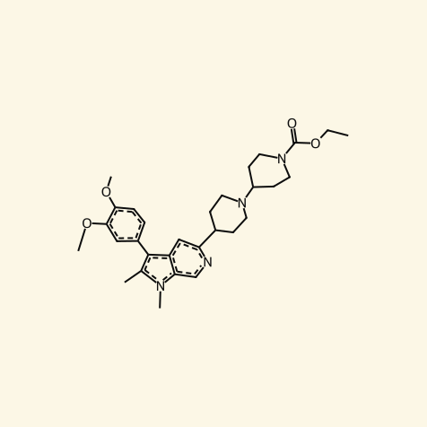 CCOC(=O)N1CCC(N2CCC(c3cc4c(-c5ccc(OC)c(OC)c5)c(C)n(C)c4cn3)CC2)CC1